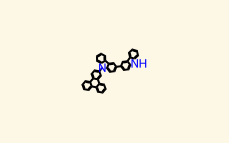 c1ccc2c(c1)[nH]c1ccc(-c3ccc4c(c3)c3ccccc3n4-c3ccc4c5ccccc5c5ccccc5c4c3)cc12